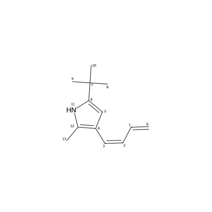 C=C/C=C\c1cc(C(C)(C)C)[nH]c1C